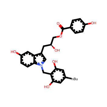 CCCCc1cc(O)c(Cn2cc(C[C@H](O)COC(=O)c3ccc(O)cc3)c3cc(O)ccc32)c(O)c1